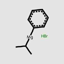 Br.C[CH](C)[Mg][c]1ccccc1